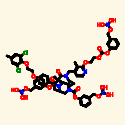 Cc1cc(Cl)c(OCCOc2ccc(C3CC4CN(C(=O)Oc5cccc(CON(O)O)c5)CC(N4C(=O)Oc4cccc(CON(O)O)c4)C3(C)C(=O)N(Cc3ccnc(OCCOC(=O)Oc4cccc(CON(O)O)c4)c3C)C3CC3)cc2)c(Cl)c1